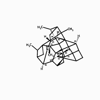 CC1C2CC13[C@]14C(C)C5C[C@H]6N[C@H]2C2C7C[C@@H]8[C@@H]9C%10CC%11[C@@H]%12[C@@H]6C6(C%12%13C%11%10[C@]79C%137C61[C@]3(C)[C@@]287)C54C